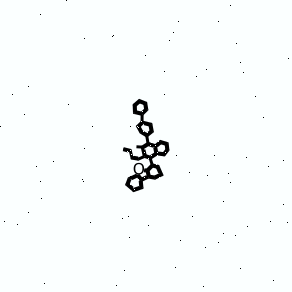 C=C/C=C\c1c(C)c(-c2ccc(-c3ccccc3)cc2)c2ccccc2c1-c1cccc2c1oc1ccccc12